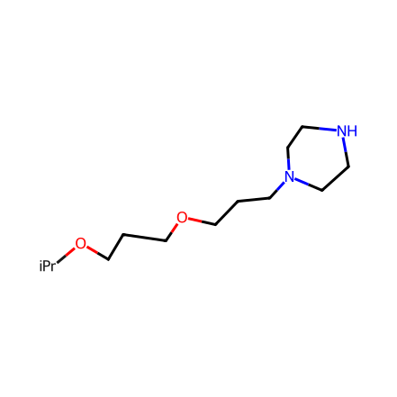 CC(C)OCCCOCCCN1CCNCC1